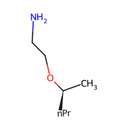 CCC[C@H](C)OCCN